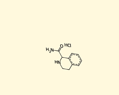 Cl.NC(=O)C1NCCc2ccccc21